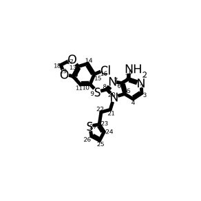 Nc1nccc2c1nc(Sc1cc3c(cc1Cl)OCO3)n2CCc1cccs1